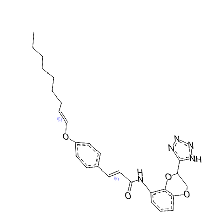 CCCCCCC/C=C/Oc1ccc(/C=C/C(=O)Nc2cccc3c2OC(c2nnn[nH]2)CO3)cc1